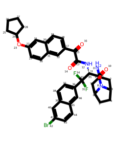 NC1CC2CCC(C1)N2C(=O)[C@@H](NC(=O)C(=O)c1ccc2cc(OC3CCCC3)ccc2c1)C(F)(F)c1ccc2cc(Br)ccc2c1